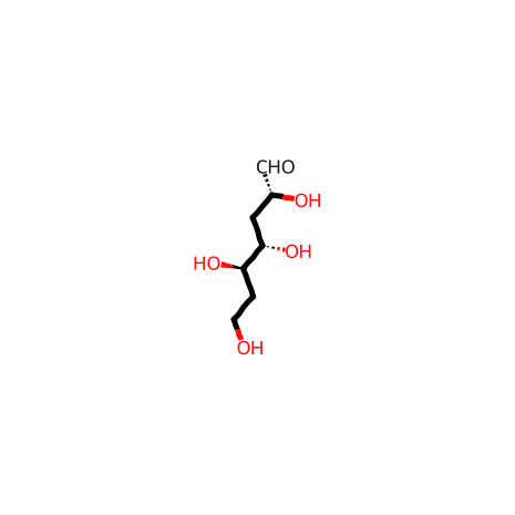 O=C[C@H](O)C[C@H](O)[C@H](O)CCO